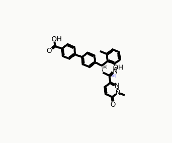 Cc1ccccc1[C@H](C/C(=N\O)c1ccc(=O)n(C)n1)c1ccc(-c2ccc(C(=O)O)cc2)cc1